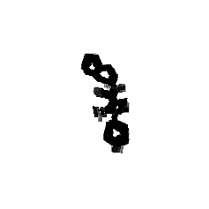 O=C(N[C@@H]1CCc2ccccc2C1)c1cnn(-c2ccc(Cl)cc2)c1C(F)(F)F